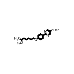 CCCCCCCCCCc1cnc(-c2ccc(OCCCCCC(C)OCC)cc2)nc1